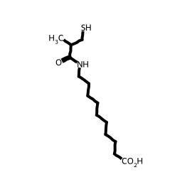 CC(CS)C(=O)NCCCCCCCCCC(=O)O